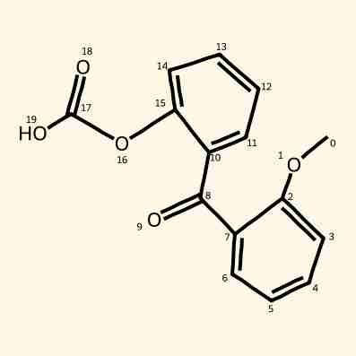 COc1ccccc1C(=O)c1ccccc1OC(=O)O